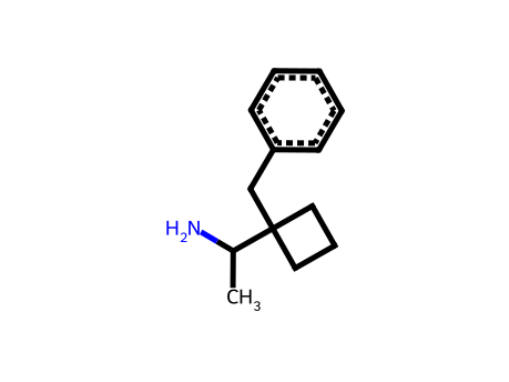 CC(N)C1(Cc2ccccc2)CCC1